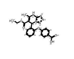 CCOC(=O)C1=C(C)Nc2nnnn2C1c1ccccc1Oc1ccc(C(=O)O)cc1